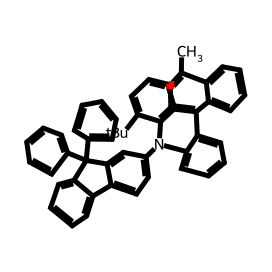 Cc1ccc(-c2ccccc2N(c2ccc3c(c2)C(c2ccccc2)(c2ccccc2)c2ccccc2-3)c2ccccc2C(C)(C)C)c2ccccc12